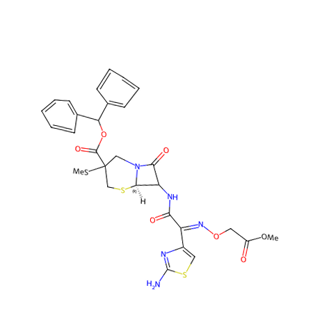 COC(=O)CON=C(C(=O)NC1C(=O)N2CC(SC)(C(=O)OC(c3ccccc3)c3ccccc3)CS[C@H]12)c1csc(N)n1